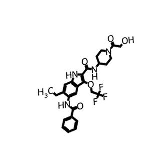 CCc1cc2[nH]c(C(=O)NC3CCN(C(=O)CO)CC3)c(OCC(F)(F)F)c2cc1NC(=O)c1ccccc1